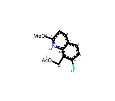 COc1ccc2ccc(F)c(COC(C)=O)c2n1